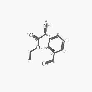 CCOC(=O)C=N.O=Cc1ccccc1